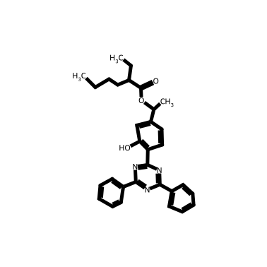 CCCCC(CC)C(=O)OC(C)c1ccc(-c2nc(-c3ccccc3)nc(-c3ccccc3)n2)c(O)c1